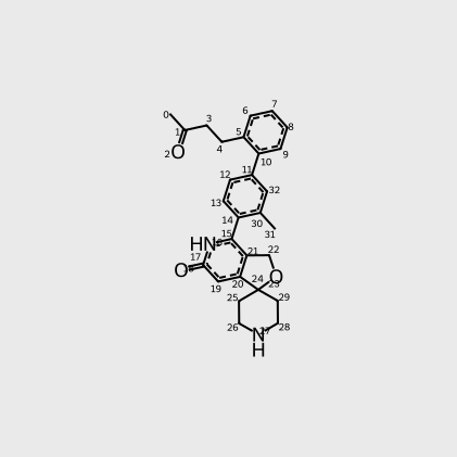 CC(=O)CCc1ccccc1-c1ccc(-c2[nH]c(=O)cc3c2COC32CCNCC2)c(C)c1